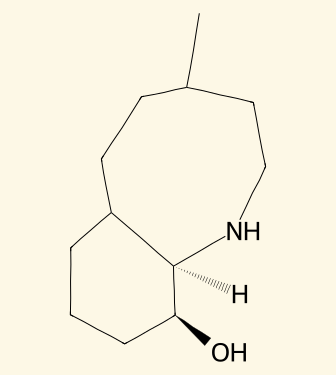 CC1CCN[C@@H]2C(CCC[C@@H]2O)CC1